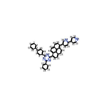 c1ccc(-c2ccc(-c3nc(-c4ccccc4)nc(-c4ccc5ccc6c(-c7ccc(-c8ccncc8)nc7)ccc7ccc4c5c76)n3)cc2)cc1